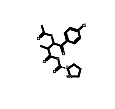 CC(=O)SC(C(=O)c1ccc(Cl)cc1)C(C)C(=O)OC(=O)[C@@H]1CCCN1